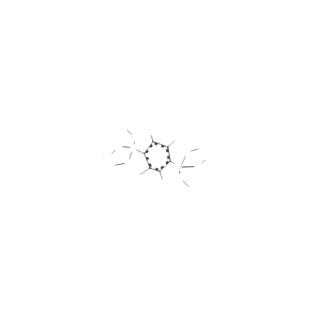 CCO[Si](OCC)(OCC)c1c(F)c(F)c([Si](OCC)(OCC)OCC)c(F)c1F